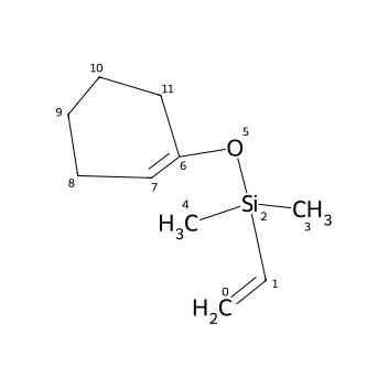 C=C[Si](C)(C)OC1=CCCCC1